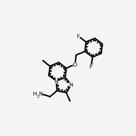 Cc1cc(OCc2c(F)cccc2F)c2nc(C)c(CN)n2c1